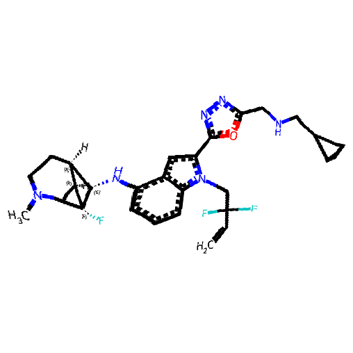 C=CC(F)(F)Cn1c(-c2nnc(CNCC3CC3)o2)cc2c(N[C@H]3[C@@H]4CCN(C)C5[C@@H]4[C@]53F)cccc21